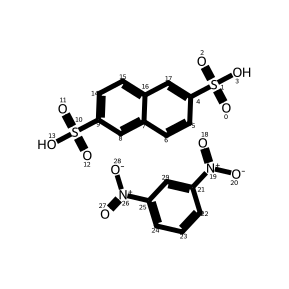 O=S(=O)(O)c1ccc2cc(S(=O)(=O)O)ccc2c1.O=[N+]([O-])c1cccc([N+](=O)[O-])c1